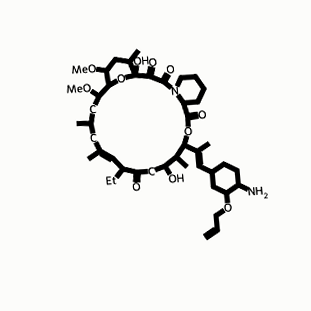 C=CCOC1CC(C=C(C)C2OC(=O)C3CCCCN3C(=O)C(=O)C3(O)OC(C(OC)CC(C)C/C(C)=C/C(CC)C(=O)CC(O)C2C)C(OC)CC3C)CCC1N